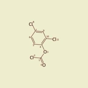 O=C(Cl)Oc1ccc(Cl)cc1Cl